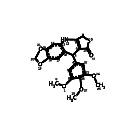 COc1cc(C2C3=C(CSC3=O)Nc3cc4c(cc32)OCO4)cc(OC)c1OC